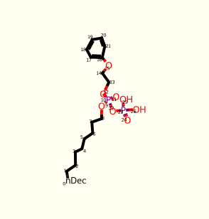 CCCCCCCCCCCCCCCCCCOP(=O)(OCCOc1ccccc1)OP(=O)(O)O